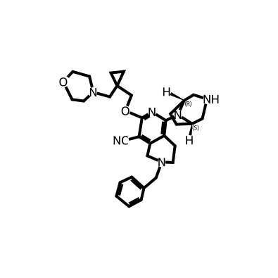 N#Cc1c(OCC2(CN3CCOCC3)CC2)nc(N2[C@@H]3CC[C@H]2CNC3)c2c1CN(Cc1ccccc1)CC2